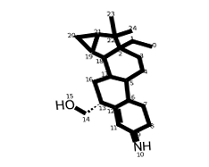 CCC12CCC3C4CCC(=N)C=C4[C@H](CO)CC3C1C1CC1C2(C)C